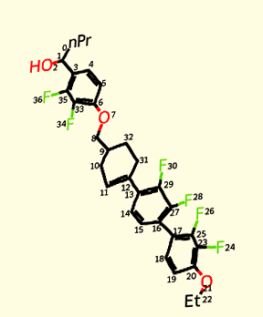 CCCC(O)c1ccc(OCC2CC=C(c3ccc(-c4ccc(OCC)c(F)c4F)c(F)c3F)CC2)c(F)c1F